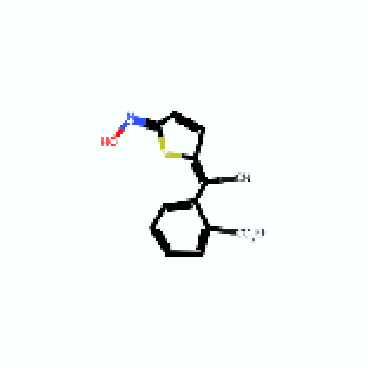 CCOC(=O)c1ccccc1/C(C#N)=C1C=C/C(=N/O)S/1